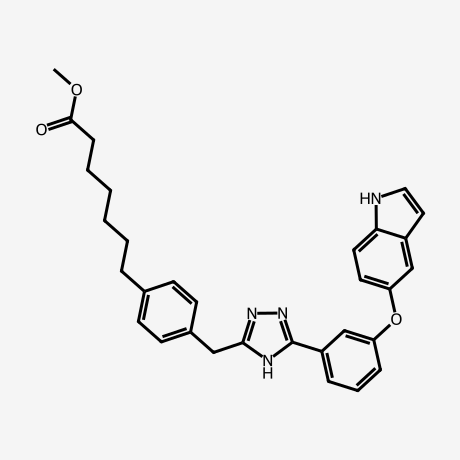 COC(=O)CCCCCCc1ccc(Cc2nnc(-c3cccc(Oc4ccc5[nH]ccc5c4)c3)[nH]2)cc1